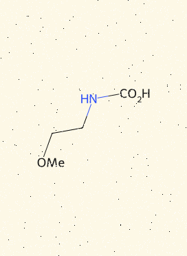 COCCNC(=O)O